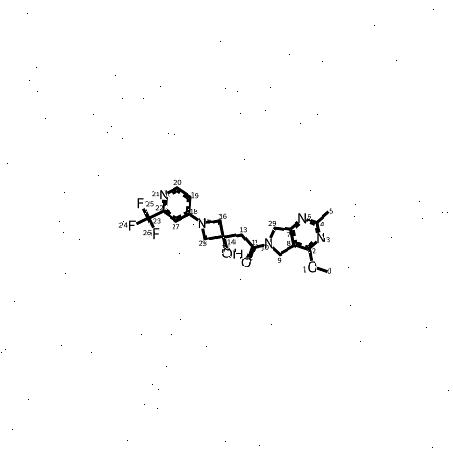 COc1nc(C)nc2c1CN(C(=O)CC1(O)CN(c3ccnc(C(F)(F)F)c3)C1)C2